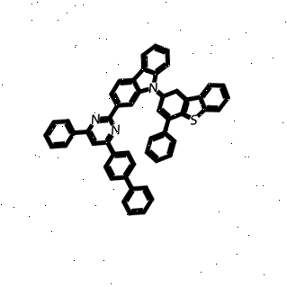 C1=C(c2ccccc2)c2sc3ccccc3c2CC1n1c2ccccc2c2ccc(-c3nc(-c4ccccc4)cc(-c4ccc(-c5ccccc5)cc4)n3)cc21